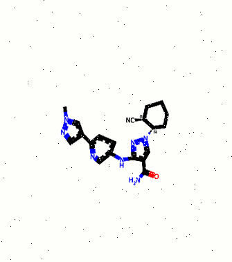 Cn1cc(-c2ccc(Nc3nn([C@H]4CCCC[C@@H]4C#N)cc3C(N)=O)cn2)cn1